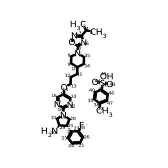 CC(C)c1noc(N2CCC(CCCOc3cnc(N4C[C@H](c5ccccc5F)[C@@H](N)C4)nc3)CC2)n1.Cc1ccc(S(=O)(=O)O)cc1